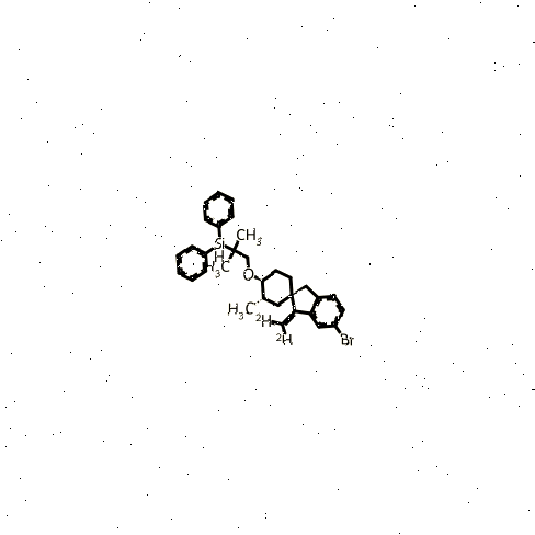 [2H]C([2H])=C1c2cc(Br)ccc2C[C@@]12CC[C@H](OCC(C)(C)[SiH](c1ccccc1)c1ccccc1)[C@@H](C)C2